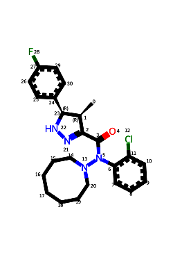 C[C@H]1C(C(=O)N(c2ccccc2Cl)N2CCCCCCC2)=NN[C@H]1c1ccc(F)cc1